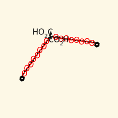 O=C(O)CCC(CCOCCOCCOCCOCCOCCOCCOCCOCc1ccccc1)(CCOCCOCCOCCOCCOCCOCCOCCOCc1ccccc1)C(=O)O